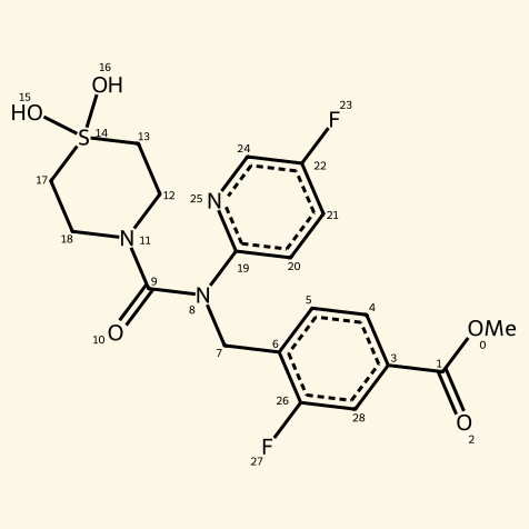 COC(=O)c1ccc(CN(C(=O)N2CCS(O)(O)CC2)c2ccc(F)cn2)c(F)c1